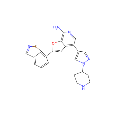 Nc1ncc(-c2cnn(C3CCNCC3)c2)c2cc(-c3cccc4cnsc34)oc12